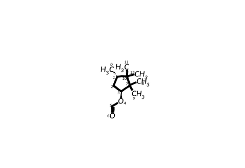 C[C@H]1C[C@H](OC=O)C(C)(C)C1(C)C